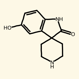 O=C1Nc2ccc(O)cc2C12CCNCC2